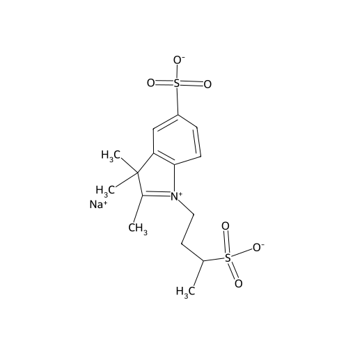 CC1=[N+](CCC(C)S(=O)(=O)[O-])c2ccc(S(=O)(=O)[O-])cc2C1(C)C.[Na+]